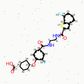 O=C(NCCNC(=O)c1cc2cccc(F)c2s1)c1ccc(O[C@H]2CC[C@@H](C(=O)O)CC2)c(F)c1